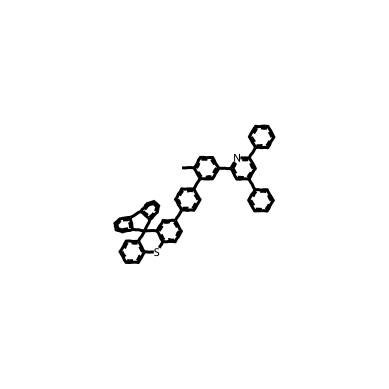 Cc1ccc(-c2cc(-c3ccccc3)cc(-c3ccccc3)n2)cc1-c1ccc(-c2ccc3c(c2)C2(c4ccccc4S3)c3ccccc3-c3ccccc32)cc1